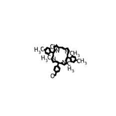 Cc1cc(C)c(C2=C3C=CC(=N3)C=C3C=CC(=N3)C(c3c(C)cc(C)cc3C)=C3C=CC(=N3)C(c3ccc(C=O)cc3)=C3C=CC2=N3)c(C)c1